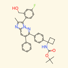 Cc1nc2cc(-c3ccccc3)c(-c3ccc(C4(NC(=O)OC(C)(C)C)CCC4)cc3)nn2c1-c1ccc(F)cc1CO